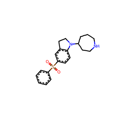 O=S(=O)(c1ccccc1)c1ccc2c(c1)CCN2C1CCCNCC1